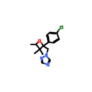 CC1OC(Cn2cncn2)(c2ccc(Cl)cc2)C1(C)C